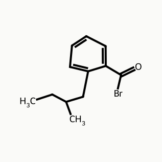 CCC(C)Cc1ccccc1C(=O)Br